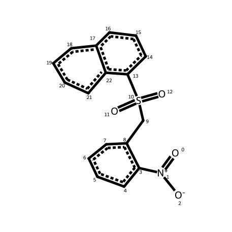 O=[N+]([O-])c1ccccc1CS(=O)(=O)c1cccc2ccccc12